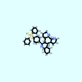 S=P(c1ccccc1)(c1ccccc1)c1ccc(-c2nc3ccccc3c3c4cccnc4c4ncccc4c23)cc1